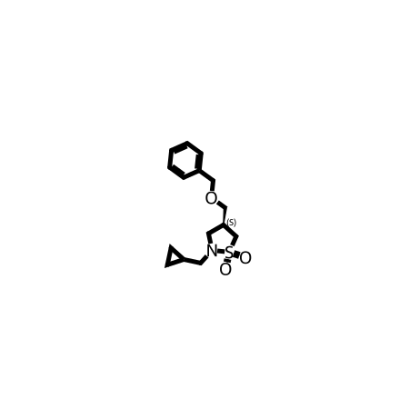 O=S1(=O)C[C@H](COCc2ccccc2)CN1CC1CC1